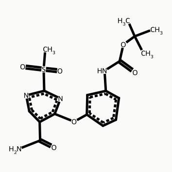 CC(C)(C)OC(=O)Nc1cccc(Oc2nc(S(C)(=O)=O)ncc2C(N)=O)c1